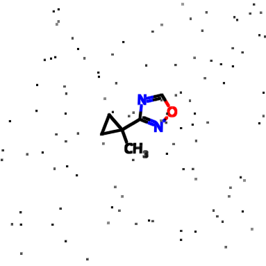 CC1(c2ncon2)CC1